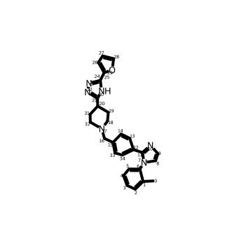 Cc1ccccc1-n1ccnc1-c1ccc(CN2CCC(c3nnc(-c4ccco4)[nH]3)CC2)cc1